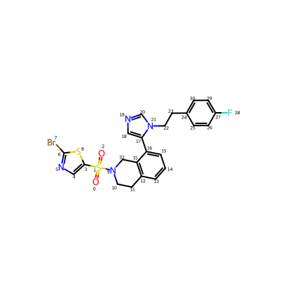 O=S(=O)(c1cnc(Br)s1)N1CCc2cccc(-c3cncn3CCc3ccc(F)cc3)c2C1